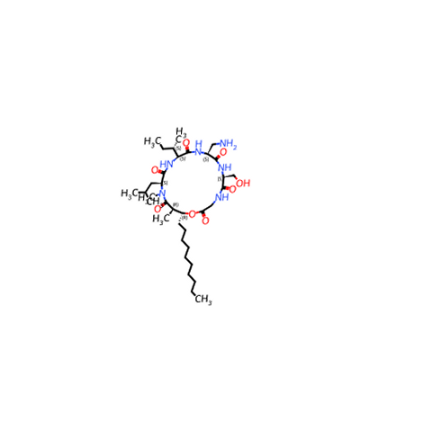 CCCCCCCCCC[C@H]1OC(=O)CNC(=O)[C@H](CO)NC(=O)[C@H](CN)NC(=O)[C@H]([C@@H](C)CC)NC(=O)[C@H](CC(C)C)N(C)C(=O)[C@@H]1C